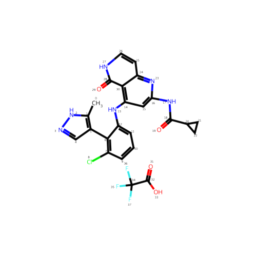 Cc1[nH]ncc1-c1c(Cl)cccc1Nc1cc(NC(=O)C2CC2)nc2cc[nH]c(=O)c12.O=C(O)C(F)(F)F